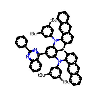 CC(C)(C)c1cc(N2c3cc(-c4nc(-c5ccccc5)nc5ccccc45)cc4c3B(c3ccc5cc6ccccc6cc5c32)c2ccc3cc5ccccc5cc3c2N4c2cc(C(C)(C)C)cc(C(C)(C)C)c2)cc(C(C)(C)C)c1